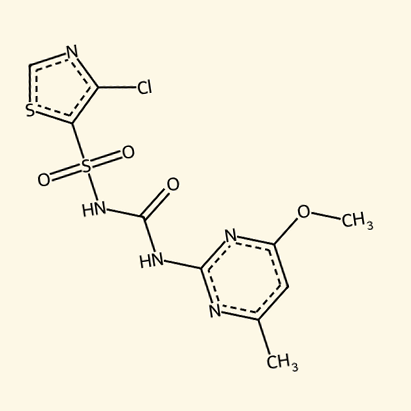 COc1cc(C)nc(NC(=O)NS(=O)(=O)c2scnc2Cl)n1